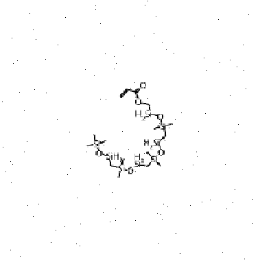 C=CC(=O)OC[SiH2]O[Si](C)(C)C[SiH2]O[Si](C)(C)C[SiH2]O[Si](C)(C)C[SiH2]O[Si](C)(C)C